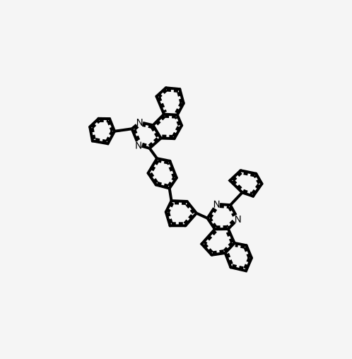 c1ccc(-c2nc(-c3ccc(-c4cccc(-c5nc(-c6ccccc6)nc6c5ccc5ccccc56)c4)cc3)c3ccc4ccccc4c3n2)cc1